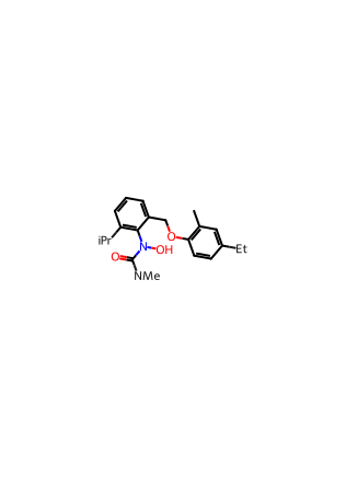 CCc1ccc(OCc2cccc(C(C)C)c2N(O)C(=O)NC)c(C)c1